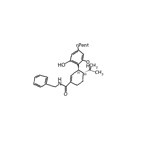 C=C(C)[C@@H]1CCC(C(=O)NCc2ccccc2)=C[C@H]1c1c(O)cc(CCCCC)cc1O